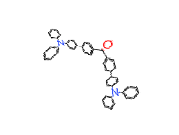 O=C(c1ccc(-c2ccc(N(c3ccccc3)c3ccccc3)cc2)cc1)c1ccc(-c2ccc(N(c3ccccc3)c3ccccc3)cc2)cc1